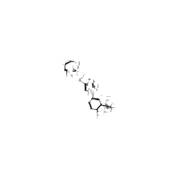 Fc1ccc(-n2cc(COc3ncccn3)nn2)cc1C(F)(F)F